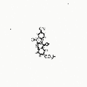 N#Cc1ccc2c(c1)C(=O)c1nc3ccc(C(=O)O)cc3c(=O)n1-2